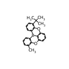 Cc1cccc2c1Oc1cccc3c1B2c1cccc(C(C)(C)C)c1O3